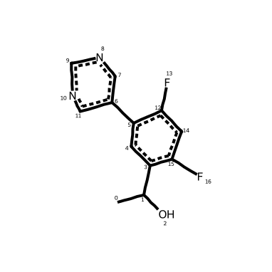 CC(O)c1cc(-c2cncnc2)c(F)cc1F